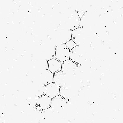 C=C(N)C(=C/C)/C(=C\C)CCc1ccc(F)c(C(=C)N2CC(CNC3CC3)C2)c1